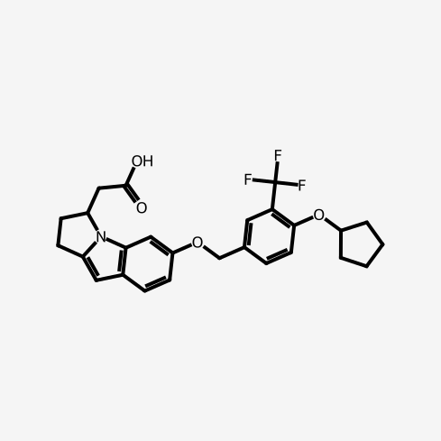 O=C(O)CC1CCc2cc3ccc(OCc4ccc(OC5CCCC5)c(C(F)(F)F)c4)cc3n21